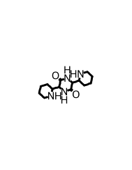 O=C1NC(C2CCCCN2)C(=O)NC1C1CCCCN1